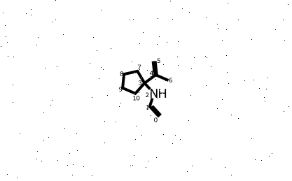 C=CNC1(C(=C)C)CCCC1